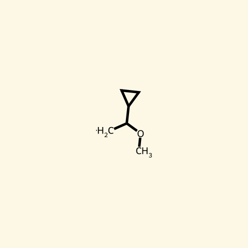 [CH2]C(OC)C1CC1